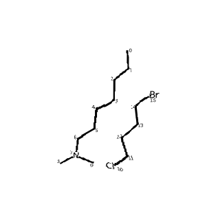 CCCCCCCN(C)C.ClCCCCBr